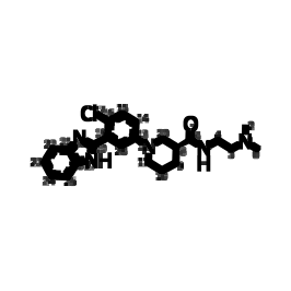 CN(C)CCNC(=O)[C@H]1CCCN(c2ccc(Cl)c(-c3nc4ccccc4[nH]3)c2)C1